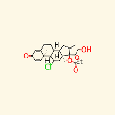 CCC(=O)O[C@]1(C(=O)CO)C(C)C[C@H]2[C@@H]3CCC4=CC(=O)C=C[C@]4(C)[C@H]3C(Cl)C[C@@]21C